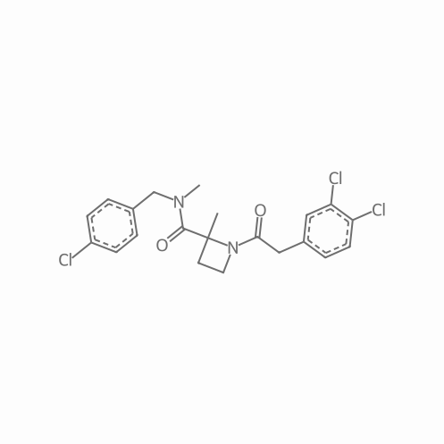 CN(Cc1ccc(Cl)cc1)C(=O)C1(C)CCN1C(=O)Cc1ccc(Cl)c(Cl)c1